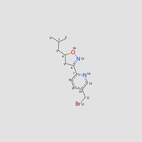 CC(C)CC1CC(c2ccc(CBr)cn2)=NO1